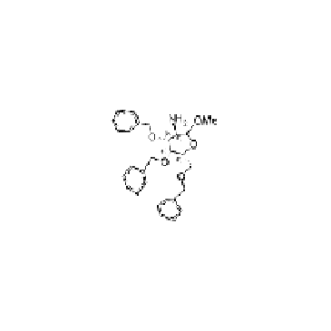 COC1O[C@H](COCc2ccccc2)[C@H](OCc2ccccc2)[C@H](OCc2ccccc2)[C@H]1N